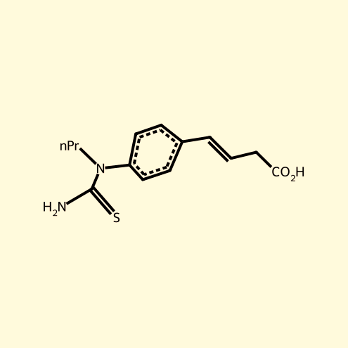 CCCN(C(N)=S)c1ccc(/C=C/CC(=O)O)cc1